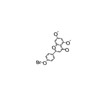 COc1cc(OC)c2c(=O)cc(-c3ccc(OBr)cc3)oc2c1